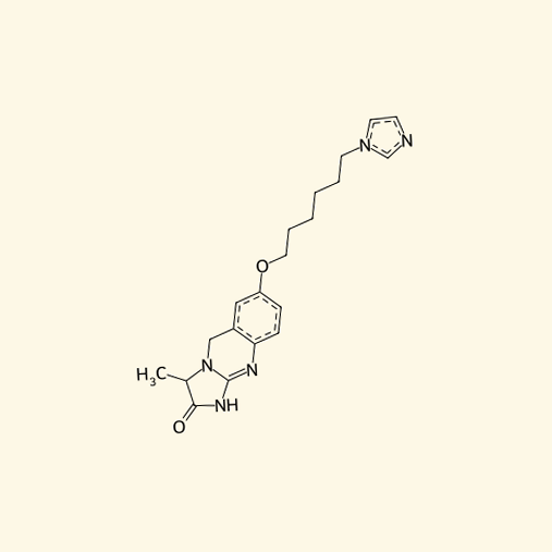 CC1C(=O)NC2=Nc3ccc(OCCCCCCn4ccnc4)cc3CN21